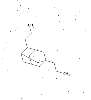 CCCC1C2CC3CC1CC(CCC)(C3)C2